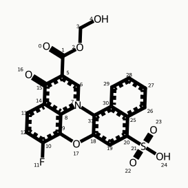 O=C(OCO)c1cn2c3c(c(F)ccc3c1=O)Oc1cc(S(=O)(=O)O)c3ccccc3c1-2